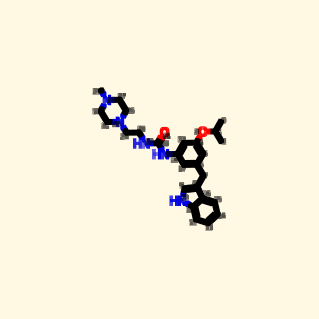 CC(C)Oc1cc(Cc2c[nH]c3ccccc23)cc(NC(=O)NCCN2CCN(C)CC2)c1